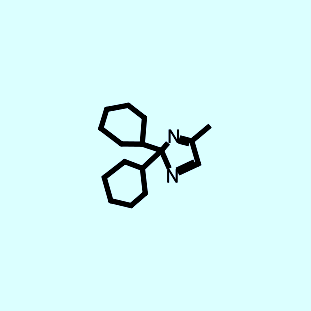 CC1=NC(C2CCCCC2)(C2CCCCC2)N=C1